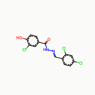 O=C(N/N=C/c1ccc(Cl)cc1Cl)c1ccc(O)c(Cl)c1